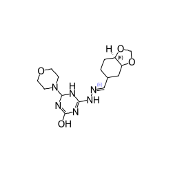 OC1=NC(N2CCOCC2)NC(N/N=C/C2CC[C@H]3OCOC3C2)=N1